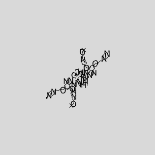 CN1CCN(CCCOc2cc(OC3CCN(CCOC(C)(C)C)CC3)c3c(Nc4cc(C(C(=O)O)c5cc(Nc6ncnc7cc(OCCCN8CCN(C)CC8)cc(OC8CCN(CCOC(C)(C)C)CC8)c67)n[nH]5)[nH]n4)ncnc3c2)CC1